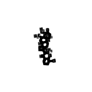 CC1=C2N(C)C(=O)CC[C@]2(C)[C@@H]2CC[C@]3(C)C(C(=O)Nc4cccc(Cl)c4Cl)CC[C@H]3[C@@H]2C1